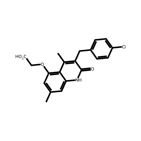 Cc1cc(OCC(=O)O)c2c(C)c(Cc3ccc(Cl)cc3)c(=O)[nH]c2c1